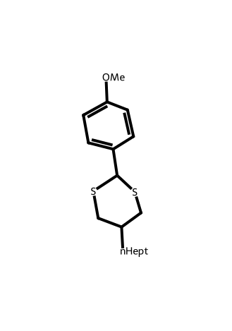 CCCCCCCC1CSC(c2ccc(OC)cc2)SC1